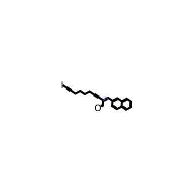 O=C/C(C#CCCCCC#CI)=C\c1ccc2ccccc2c1